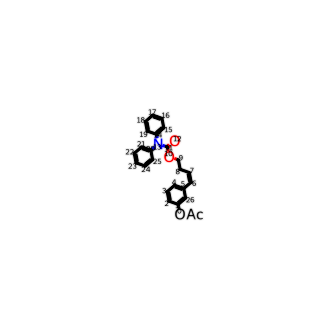 CC(=O)Oc1cccc(/C=C\CCOC(=O)N(c2ccccc2)c2ccccc2)c1